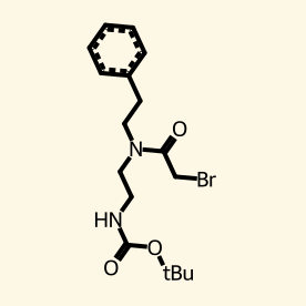 CC(C)(C)OC(=O)NCCN(CCc1ccccc1)C(=O)CBr